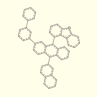 c1ccc(-c2cccc(-c3ccc4c(-c5ccc6ccccc6c5)c5ccccc5c(-c5cccc6oc7ccccc7c56)c4c3)c2)cc1